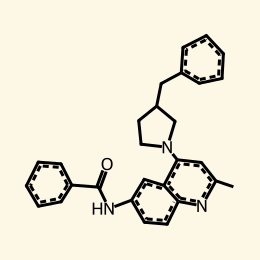 Cc1cc(N2CCC(Cc3ccccc3)C2)c2cc(NC(=O)c3ccccc3)ccc2n1